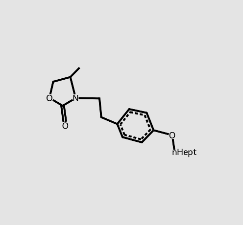 CCCCCCCOc1ccc(CCN2C(=O)OCC2C)cc1